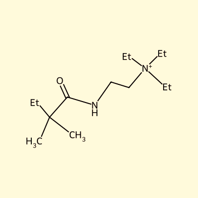 CCC(C)(C)C(=O)NCC[N+](CC)(CC)CC